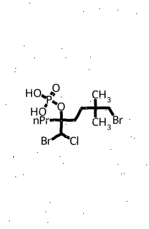 CCCC(CCC(C)(C)CBr)(OP(=O)(O)O)C(Cl)Br